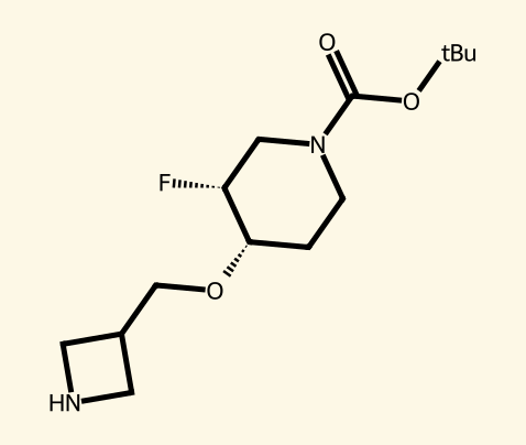 CC(C)(C)OC(=O)N1CC[C@H](OCC2CNC2)[C@H](F)C1